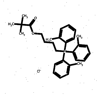 Cc1ccccc1[P+](CCCCOC(=O)C(C)(C)C)(c1ccccc1C)c1ccccc1C.[Cl-]